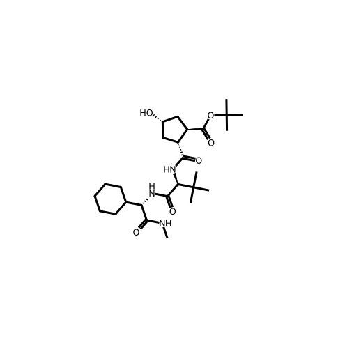 CNC(=O)[C@@H](NC(=O)[C@@H](NC(=O)[C@@H]1C[C@H](O)C[C@H]1C(=O)OC(C)(C)C)C(C)(C)C)C1CCCCC1